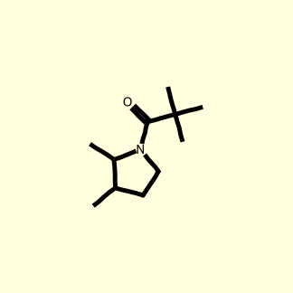 CC1CCN(C(=O)C(C)(C)C)C1C